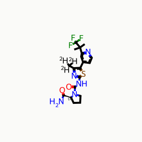 [2H]C([2H])([2H])c1nc(NC(=O)N2CCC[C@H]2C(N)=O)sc1-c1ccnc(C(C)(C)C(F)(F)F)c1